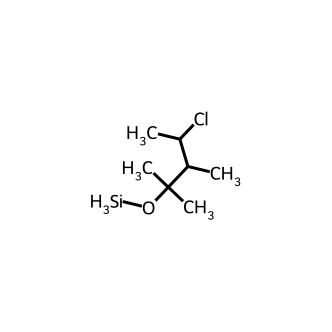 CC(Cl)C(C)C(C)(C)O[SiH3]